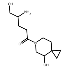 NC(CO)CCC(=O)N1CCC2(CC2)C(O)C1